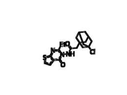 CCc1nc2sccc2c(=O)n1NC(=O)CC12CC3CC(CC(Cl)(C3)C1)C2